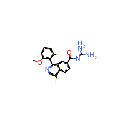 COc1cccc(F)c1-c1ncc(F)c2ccc(C(=O)N=C(N)N)cc12